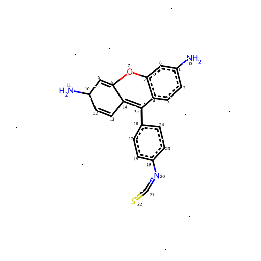 Nc1ccc2c(c1)OC1=CC(N)C=CC1=C2c1ccc(N=C=S)cc1